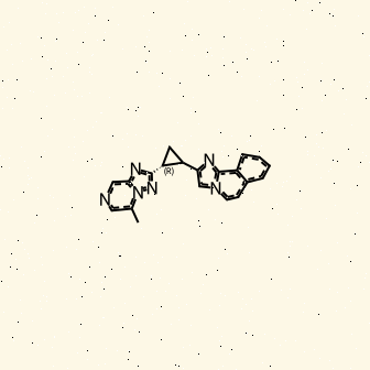 Cc1cncc2nc([C@@H]3CC3c3cn4ccc5ccccc5c4n3)nn12